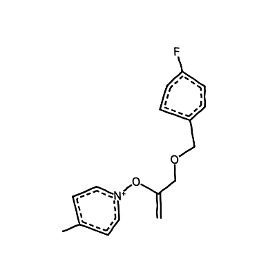 C=C(COCc1ccc(F)cc1)O[n+]1ccc(C)cc1